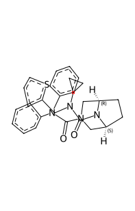 O=C(N1C[C@H]2CC[C@@H](C1)N2C(=O)N(Cc1cccs1)C1CC1)N(c1ccccc1)c1ccccc1